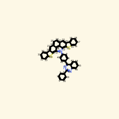 c1ccc(-c2nc(-c3ccc(-n4c5c6sc7ccccc7c6cc6ccc7cc8c9ccccc9sc8c4c7c65)cc3)c3ccccc3n2)cc1